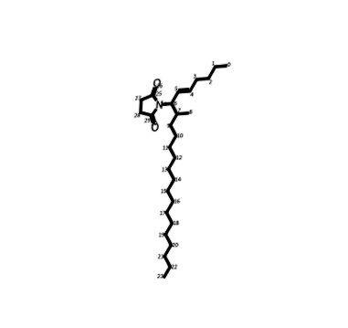 CCCC/C=C/C(C(C)CCCCCCCCCCCCCCC)N1C(=O)CCC1=O